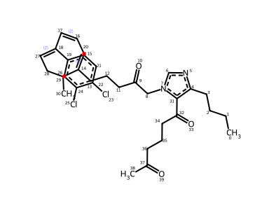 CCCCc1ncn(CC(=O)CCC/C2=C/C=C\C(c3ccc(Cl)c(Cl)c3)=C\CC2C)c1C(=O)CCCC(C)=O